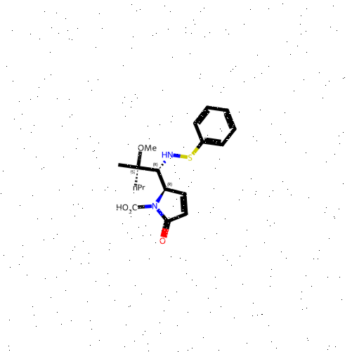 CCC[C@](C)(OC)[C@H](NSc1ccccc1)[C@H]1C=CC(=O)N1C(=O)O